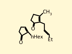 CC/C=C/CC1=C(C)CCC1=O.CCCCCCC1=CCCC1=O